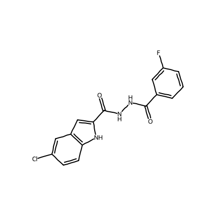 O=C(NNC(=O)c1cc2cc(Cl)ccc2[nH]1)c1cccc(F)c1